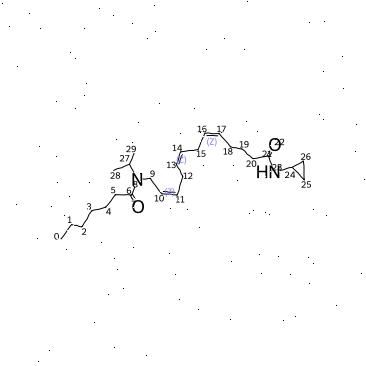 CCCCCCC(=O)N(C/C=C\C/C=C\C/C=C\CCCC(=O)NC1CC1)C(C)C